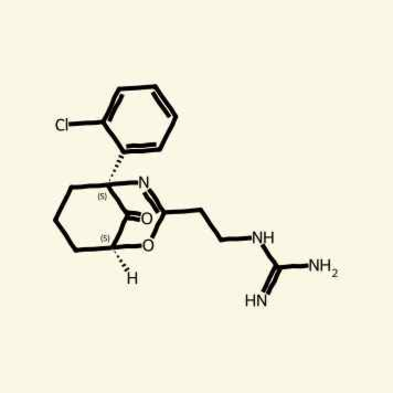 N=C(N)NCCC1=N[C@]2(c3ccccc3Cl)CCC[C@H](O1)C2=O